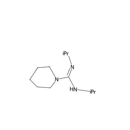 CC(C)/N=C(/NC(C)C)N1CCCCC1